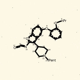 CCCOc1ccccc1Oc1ccc2oc(N=C=O)c(C3CCN(C(C)CCC)CC3)c2c1